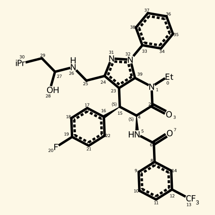 CCN1C(=O)[C@@H](NC(=O)c2cccc(C(F)(F)F)c2)[C@@H](c2ccc(F)cc2)c2c(CNC(O)CC(C)C)nn(-c3ccccc3)c21